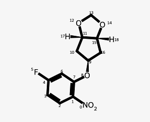 O=[N+]([O-])c1ccc(F)cc1O[C@H]1C[C@@H]2OCO[C@@H]2C1